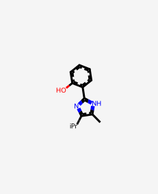 Cc1[nH]c(-c2ccccc2O)nc1C(C)C